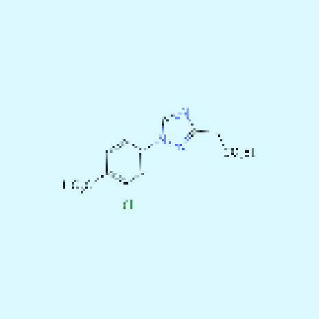 CCOC(=O)Cc1ncn(-c2ccc(C(=O)O)c(Cl)c2)n1